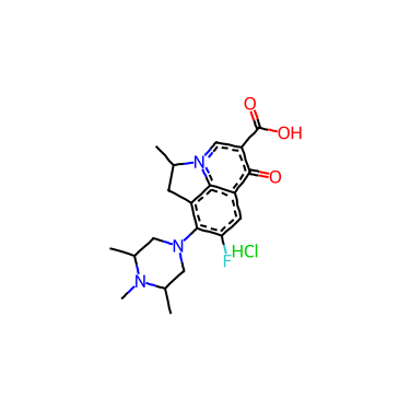 CC1CN(c2c(F)cc3c(=O)c(C(=O)O)cn4c3c2CC4C)CC(C)N1C.Cl